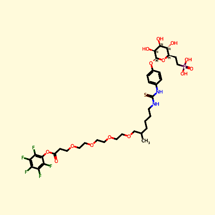 CC(CCCCNC(=S)Nc1ccc(O[C@H]2O[C@H](CCP(=O)(O)O)[C@@H](O)[C@H](O)[C@@H]2O)cc1)COCCOCCOCCOCCC(=O)Oc1c(F)c(F)c(F)c(F)c1F